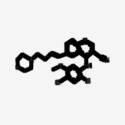 COc1cc(Nc2c(C#N)cnc3ccc(C=CCCN4CCOCC4)cc23)c(Cl)cc1Cl